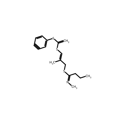 C=C(S/C=C(\C)CS/C(CCC)=N/C)Sc1cc#ccc1